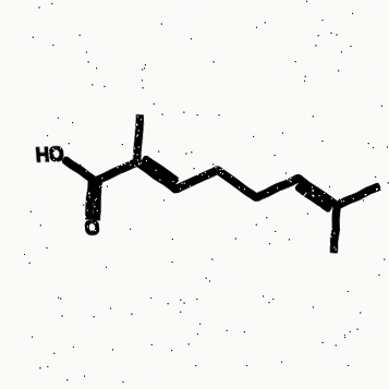 CC(C)=CCC/C=C(\C)C(=O)O